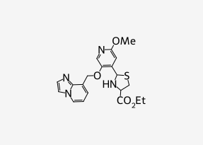 CCOC(=O)C1CSC(c2cc(OC)ncc2OCc2cccn3ccnc23)N1